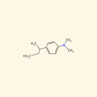 CC(CC(=O)O)c1ccc(N(C)C)cc1